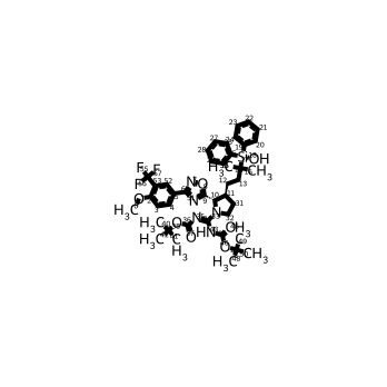 COc1ccc(-c2noc([C@@H]3[C@@H](CCC(C)(C)[Si](O)(c4ccccc4)c4ccccc4)CCN3/C(=N/C(=O)OC(C)(C)C)NC(=O)OC(C)(C)C)n2)cc1C(F)(F)F